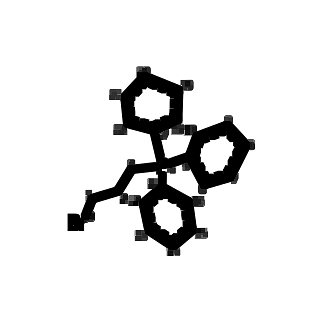 BrCCC[P](c1ccccc1)(c1ccccc1)c1ccccc1